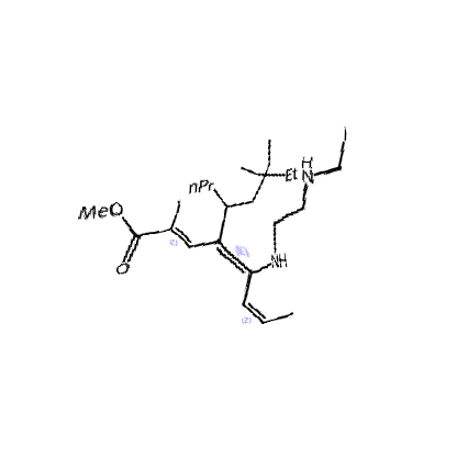 C\C=C/C(NCCNCI)=C(\C=C(/C)C(=O)OC)C(CCC)CC(C)(C)CC